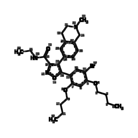 CCCCOc1cc(OCCCC)c(-c2onc(C(=O)NCC)c2-c2ccc3c(c2)CCN(C)C3)cc1Br